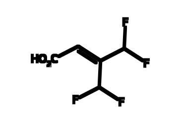 O=C(O)C=C(C(F)F)C(F)F